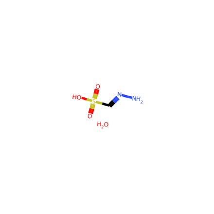 NN=CS(=O)(=O)O.O